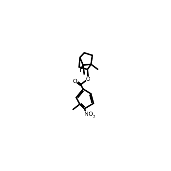 Cc1cc(C(=O)OC2CC3CCC2(C)C3(C)I)ccc1[N+](=O)[O-]